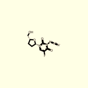 [N-]=[N+]=Nn1c(=O)c(F)cn([C@@H]2CC[C@H](CO)O2)c1=O